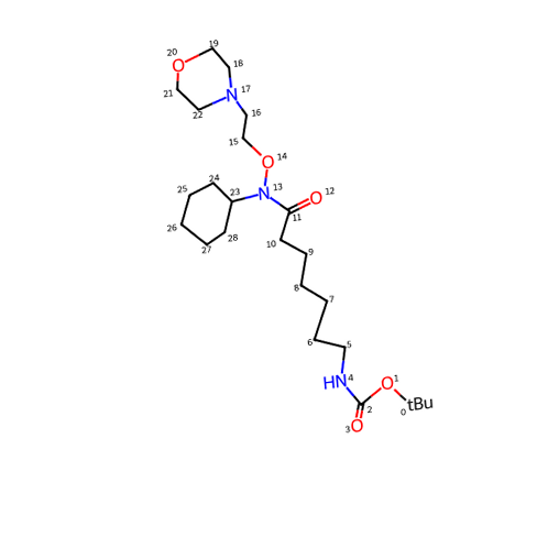 CC(C)(C)OC(=O)NCCCCCCC(=O)N(OCCN1CCOCC1)C1CCCCC1